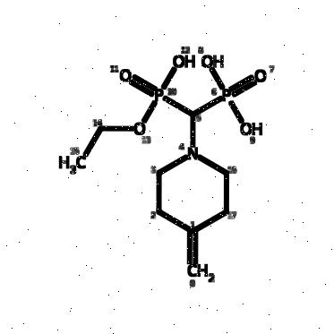 C=C1CCN(C(P(=O)(O)O)P(=O)(O)OCC)CC1